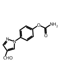 NC(=O)Oc1ccc(-n2cc(C=O)cn2)cc1